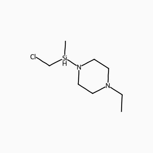 CCN1CCN([SiH](C)CCl)CC1